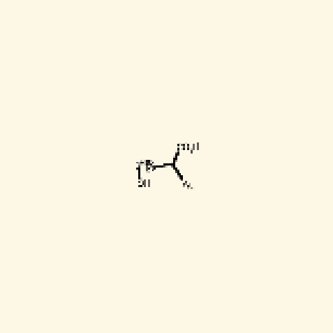 CCC(C(C)=O)C(=O)O.CCCCCCO